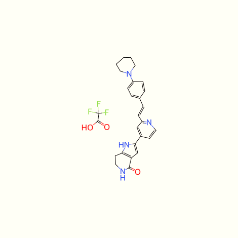 O=C(O)C(F)(F)F.O=C1NCCc2[nH]c(-c3ccnc(C=Cc4ccc(N5CCCCC5)cc4)c3)cc21